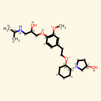 COc1cc(CCO[C@@H]2CCCC[C@H]2N2CC[C@@H](O)C2)ccc1OCC(O)CNC(C)C